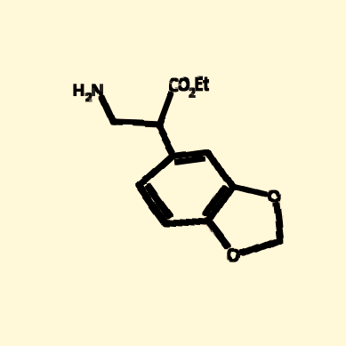 CCOC(=O)C(CN)c1ccc2c(c1)OCO2